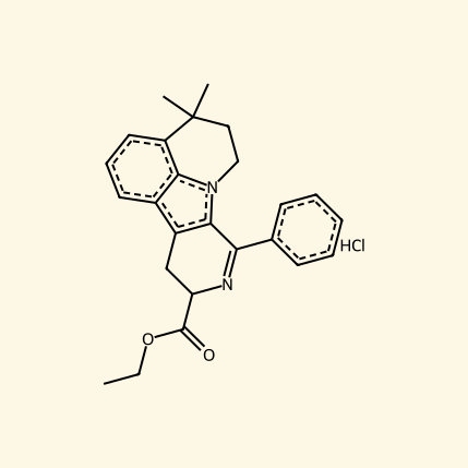 CCOC(=O)C1Cc2c(n3c4c(cccc24)C(C)(C)CC3)C(c2ccccc2)=N1.Cl